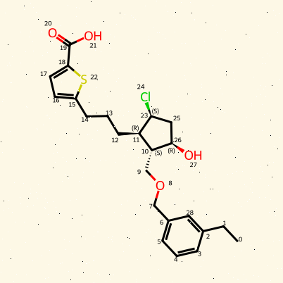 CCc1cccc(COC[C@@H]2[C@@H](CCCc3ccc(C(=O)O)s3)[C@@H](Cl)C[C@H]2O)c1